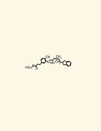 CCCCCCCCOC(=O)CCc1ccc(C#N)c(OC[C@H](O)C[N+](C)(C)CCC2Cc3ccccc3C2)c1